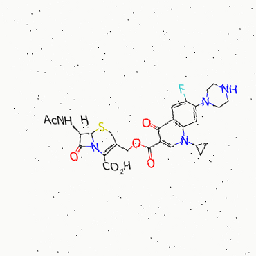 CC(=O)N[C@@H]1C(=O)N2C(C(=O)O)=C(COC(=O)c3cn(C4CC4)c4cc(N5CCNCC5)c(F)cc4c3=O)CS[C@H]12